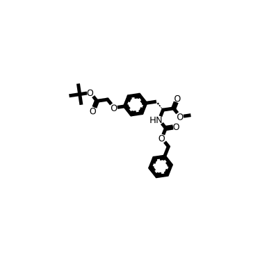 COC(=O)[C@@H](Cc1ccc(OCC(=O)OC(C)(C)C)cc1)NC(=O)OCc1ccccc1